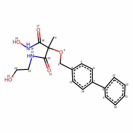 CC(OCc1ccc(-c2ccccc2)cc1)(C(=O)NO)C(=O)NCCO